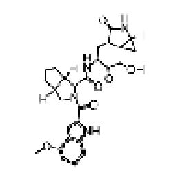 COc1cccc2[nH]c(C(=O)N3C[C@@H]4CCC[C@@H]4[C@H]3C(=O)N[C@@H](C[C@H]3C(=O)N[C@@H]4CC43)C(=O)CO)cc12